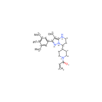 C=CC(=O)N1CCC(C2CCNc3c(C=O)c(-c4cc(OC)c(C(C)C)c(OC)c4)nn32)CC1